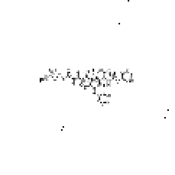 CC(NC(=O)C(Cc1ccccc1)NC(=O)C(NC(=O)Cc1ccccc1)C(C)C)C(=O)NNC(=O)CCCC(O)C(F)(F)F